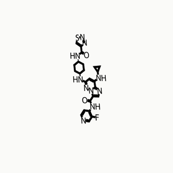 O=C(N[C@H]1CC[C@H](Nc2cc(NC3CC3)c3ncc(C(=O)Nc4ccncc4F)n3n2)CC1)c1csnn1